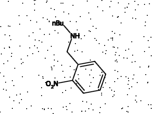 CCCCNCc1ccccc1[N+](=O)[O-]